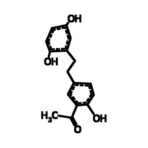 CC(=O)c1cc(CCc2cc(O)ccc2O)ccc1O